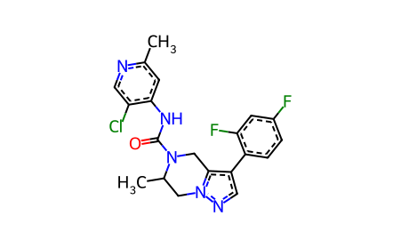 Cc1cc(NC(=O)N2Cc3c(-c4ccc(F)cc4F)cnn3CC2C)c(Cl)cn1